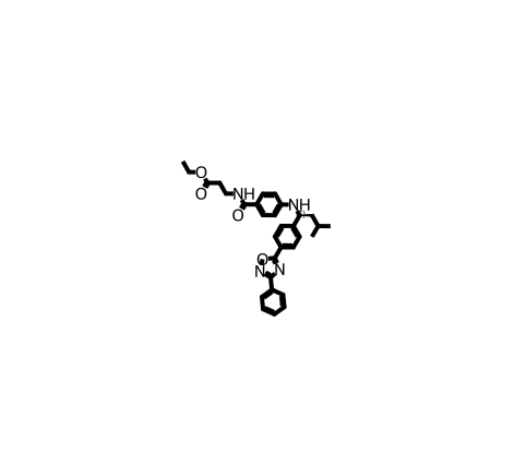 CCOC(=O)CCNC(=O)c1ccc(N[C@@H](CC(C)C)c2ccc(-c3nc(-c4ccccc4)no3)cc2)cc1